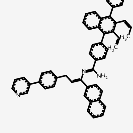 C=Cc1c(/C=C\C)c(-c2ccccc2)c2ccccc2c1-c1ccc(/C(N)=N/C(=C\Cc2ccc(-c3cccnc3)cc2)c2ccc3ccccc3c2)cc1